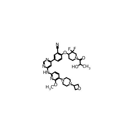 COc1nc(Nc2cc(-c3ccc(OC4CCN(C(=O)C(C)O)CC4(F)F)c(C#N)c3)ncn2)ccc1N1CCN(C2COC2)CC1